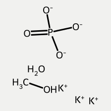 CO.O.O=P([O-])([O-])[O-].[K+].[K+].[K+]